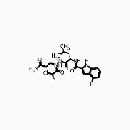 CC(C)C[C@H](NC(=O)c1cc2c(F)cccc2[nH]1)C(=O)NN(CCC(N)=O)C(=O)C(F)Cl